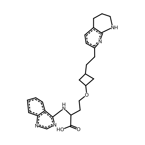 O=C(O)C(CCOC1CC(CCc2ccc3c(n2)NCCC3)C1)Nc1ncnc2ccccc12